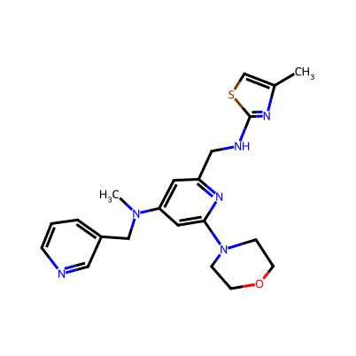 Cc1csc(NCc2cc(N(C)Cc3cccnc3)cc(N3CCOCC3)n2)n1